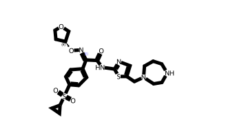 O=C(Nc1ncc(CN2CCCNCC2)s1)/C(=N/O[C@@H]1CCOC1)c1ccc(S(=O)(=O)C2CC2)cc1